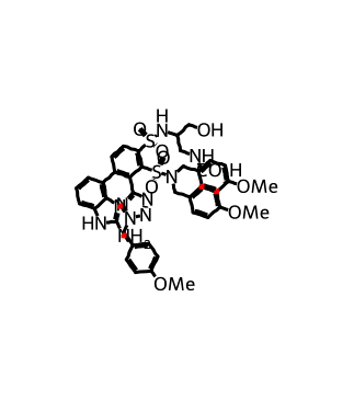 COc1ccc(CN(Cc2ccc(OC)cc2)S(=O)(=O)c2c(S(=O)(=O)NC(CO)CNC(=O)O)ccc(-c3cccc4[nH]c(N)nc34)c2-c2nnn(Cc3ccc(OC)cc3)n2)cc1